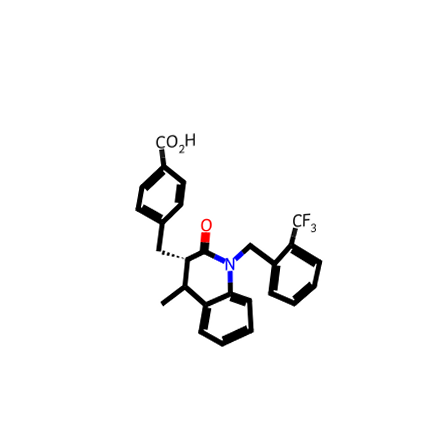 CC1c2ccccc2N(Cc2ccccc2C(F)(F)F)C(=O)[C@H]1Cc1ccc(C(=O)O)cc1